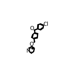 O=C(c1ccc(Cl)cc1)c1ccc(COC2CN3CCC2CC3)cc1